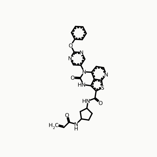 C=CC(=O)NC1CCC(NC(=O)c2sc3nccc4c3c2NC(=O)N4c2cnc(Oc3ccccc3)nc2)C1